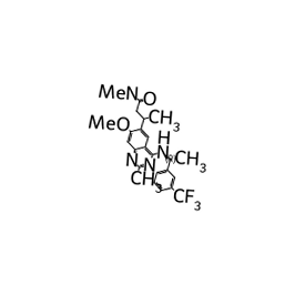 CNC(=O)CC(C)c1cc2c(N[C@H](C)c3cccc(C(F)(F)F)c3)nc(C)nc2cc1OC